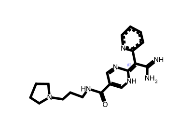 N=C(N)/C(=C1/N=CC(C(=O)NCCCN2CCCC2)=CN1)c1ccccn1